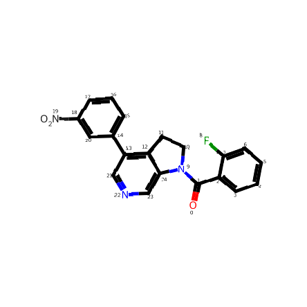 O=C(c1ccccc1F)N1CCc2c(-c3cccc([N+](=O)[O-])c3)cncc21